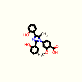 COc1cc(-n2c(-c3ccccc3O)nc(-c3ccccc3O)c2C)ccc1C(=O)O